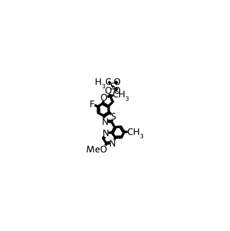 COc1cnc2c(-c3nc4cc(F)c5c(c4s3)CC(C)(OS(C)(=O)=O)O5)cc(C)cc2n1